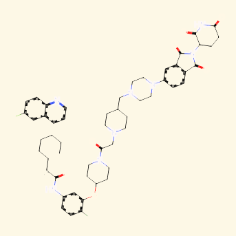 C[C@@H](C(=O)Nc1ccc(Cl)c(OC2CCN(C(=O)CN3CCC(CN4CCN(c5ccc6c(c5)C(=O)N(C5CCC(=O)NC5=O)C6=O)CC4)CC3)CC2)c1)[C@H]1CC[C@@H](c2ccnc3ccc(F)cc32)CC1